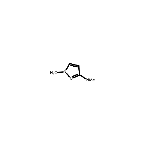 CNc1ccn(C)n1